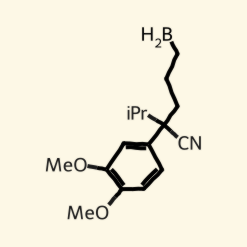 BCCCC(C#N)(c1ccc(OC)c(OC)c1)C(C)C